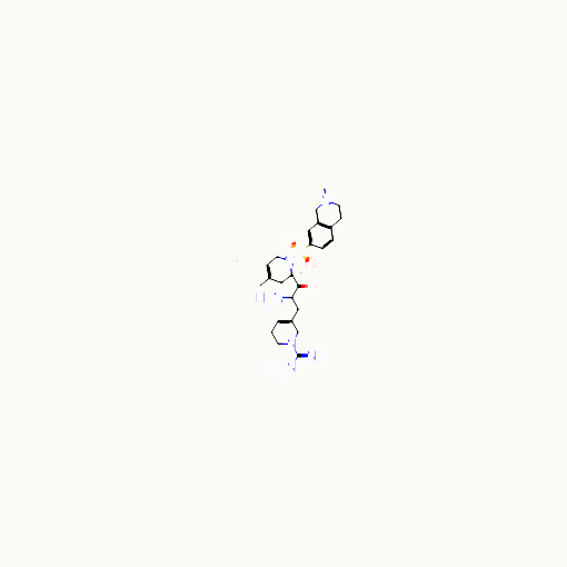 CC1=CCN(S(=O)(=O)c2ccc3c(c2)CN(C)CC3)[C@@](C(=O)O)(C(=O)C(N)CC2=CCCN(C(=N)N)C2)C1.Cl.Cl